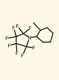 CC1CCCCC1N1C(F)(F)C(F)(F)C(F)(F)C1(F)F